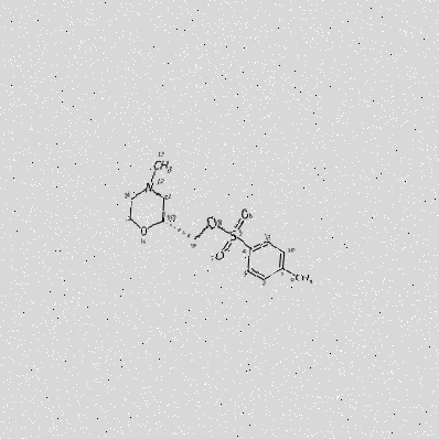 Cc1ccc(S(=O)(=O)OC[C@H]2CN(C)CCO2)cc1